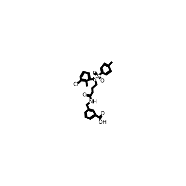 Cc1ccc(S(=O)(=O)N(CCCC(=O)NCc2cccc(C(=O)O)c2)c2cccc(Cl)c2C)cc1